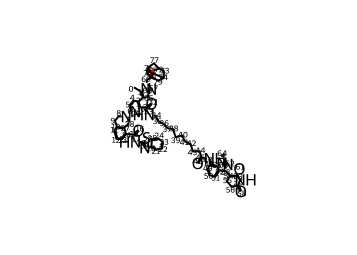 Cc1c(-c2ccc(N3CCc4cccc(C(=O)Nc5nc6ccccc6s5)c4C3)nc2C(=O)NCCCCCCCCCCCC(=O)Nc2cccc3c(C4CCC(=O)NC4=O)nn(C)c23)cnn1CC12CC3CC(CC(C3)C1)C2